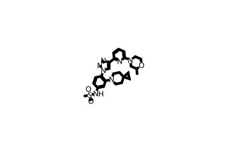 CC1CN(c2cccc(-c3cn(-c4ccc(NS(C)(=O)=O)cc4N4CCC5(CC4)CC5)nn3)n2)CCO1